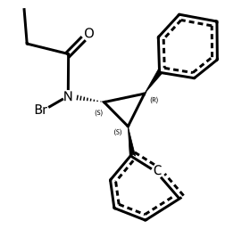 CCC(=O)N(Br)[C@H]1[C@H](c2ccccc2)[C@@H]1c1ccccc1